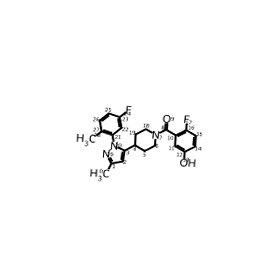 Cc1cc(C2CCN(C(=O)c3cc(O)ccc3F)CC2)n(-c2cc(F)ccc2C)n1